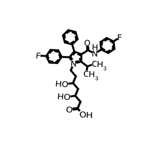 CC(C)c1c(C(=O)Nc2ccc(F)cc2)c(-c2ccccc2)c(-c2ccc(F)cc2)n1CCC(O)CC(O)CC(=O)O